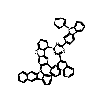 c1ccc(-c2cc3c(cc2-n2c4ccccc4c4cc5ccccc5cc42)oc2cccc(-c4nc(-c5ccc6ccccc6c5)nc(-c5ccc6c7ccccc7n(-c7ccccc7)c6c5)n4)c23)cc1